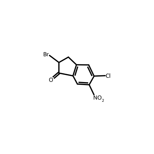 O=C1c2cc([N+](=O)[O-])c(Cl)cc2CC1Br